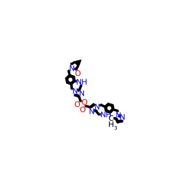 Cc1ccnn1Cc1ccc2c(c1)NCc1nc(C(=O)OC(=O)c3cn4c(n3)CNc3cc(CN5CC6CC6C5=O)ccc3C4)cn1C2